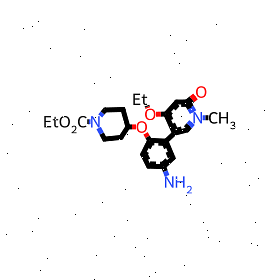 CCOC(=O)N1CCC(Oc2ccc(N)cc2-c2cn(C)c(=O)cc2OCC)CC1